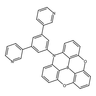 c1cncc(-c2cc(-c3cccnc3)cc(N3c4cccc5c4B4c6c(cccc6Oc6cccc3c64)O5)c2)c1